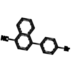 N#Cc1ccc(-c2ccc(Br)cc2)c2ccccc12